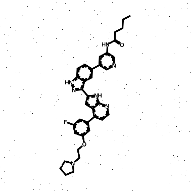 CCCCC(=O)Nc1cncc(-c2ccc3[nH]nc(-c4cc5c(-c6cc(F)cc(OCCN7CCCC7)c6)ccnc5[nH]4)c3c2)c1